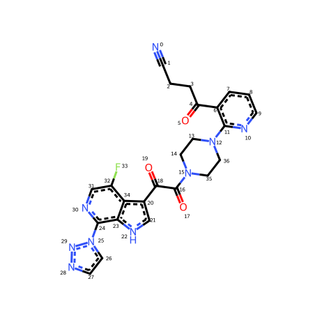 N#CCCC(=O)c1cccnc1N1CCN(C(=O)C(=O)c2c[nH]c3c(-n4ccnn4)ncc(F)c23)CC1